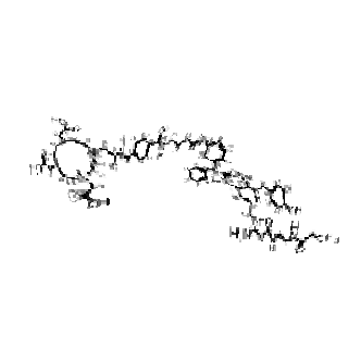 CCC(=O)NCCNC(=O)/N=C(/N)NCCC[C@@H](NC(=O)[C@H](c1ccccc1)c1cccc(OCCCCNC(=O)c2ccc(CNC(=O)CN3CCN(CC(=O)O)CCN(CC(=O)O)CCN(CC(=O)O)CC3)cc2)c1)C(=O)NCc1ccc(O)cc1